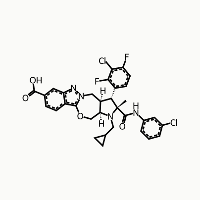 C[C@]1(C(=O)Nc2cccc(Cl)c2)[C@@H](c2ccc(F)c(Cl)c2F)[C@@H]2Cn3nc4cc(C(=O)O)ccc4c3OC[C@@H]2N1CC1CC1